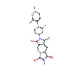 Cc1ccc(-c2ccc(-n3c(=O)c4cc5c(=O)n(C)c(=O)c5cc4c3=O)cc2C)c(C)c1